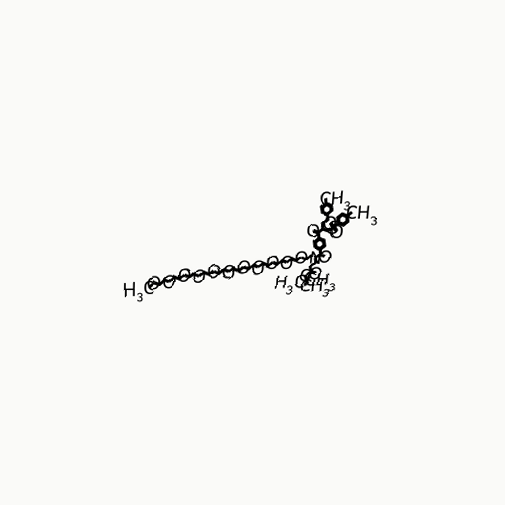 COCCOCCOCCOCCOCCOCCOCCOCCOCCOCCOCCN(CCC(=O)OC(C)(C)C)C(=O)c1ccc(C(=O)C(CCc2ccc(C)cc2)CS(=O)(=O)c2ccc(C)cc2)cc1